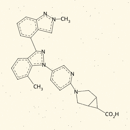 Cc1cccc2c(-c3cccc4nn(C)cc34)nn(-c3ccc(N4CC5C(C4)C5C(=O)O)nc3)c12